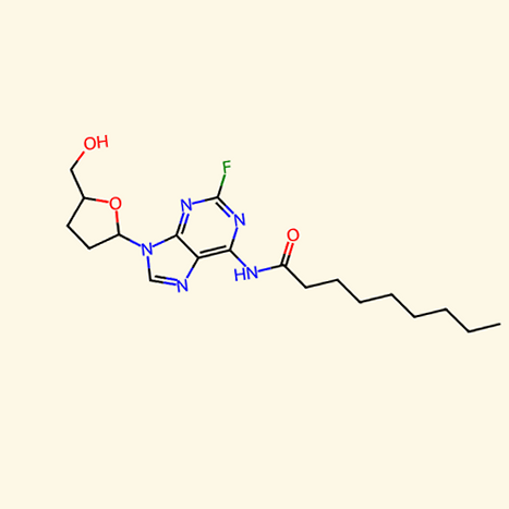 CCCCCCCCC(=O)Nc1nc(F)nc2c1ncn2C1CCC(CO)O1